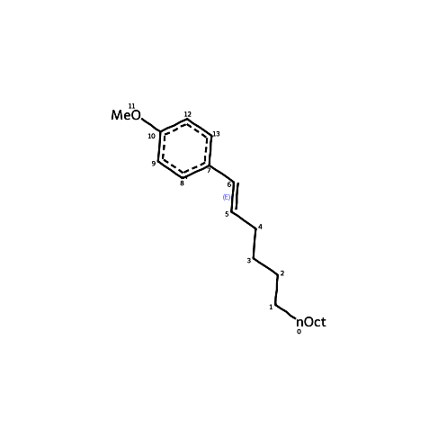 CCCCCCCCCCCC/C=C/c1[c]cc(OC)cc1